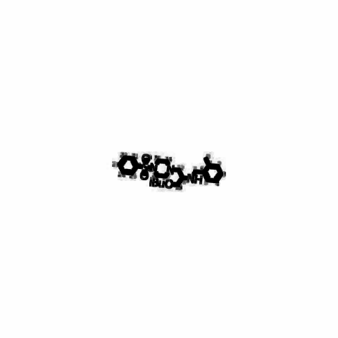 Cc1ccccc1CNC(COCC(C)C)CN1CCN(S(=O)(=O)c2ccccc2)CC1